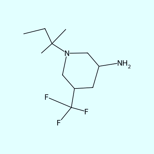 CCC(C)(C)N1CC(N)CC(C(F)(F)F)C1